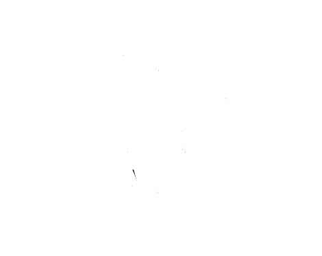 N#C[C@@H]1CSCN1C(=O)CNC(=O)c1ccnc2ccc(N3CCC4(CCCC4)OC3=O)cc12